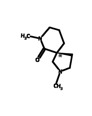 CN1CC[C@@]2(CCCN(C)C2=O)C1